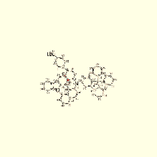 CC(C)(C)c1ccc(-c2ccc(N(c3ccc4c(c3)-c3ccccc3C4(c3ccccc3)c3ccccc3)c3ccc4ccccc4c3-c3cccc4c3oc3ccccc34)cc2)cc1